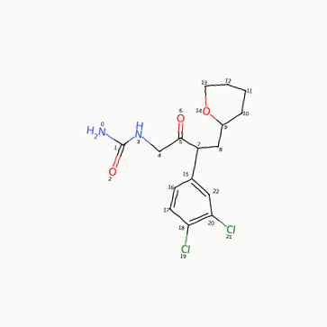 NC(=O)NCC(=O)C(CC1CCCCO1)c1ccc(Cl)c(Cl)c1